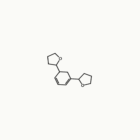 C1=C[C](C2CCCO2)CC(C2CCCO2)=C1